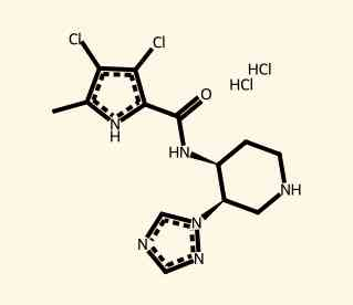 Cc1[nH]c(C(=O)N[C@H]2CCNC[C@H]2n2cncn2)c(Cl)c1Cl.Cl.Cl